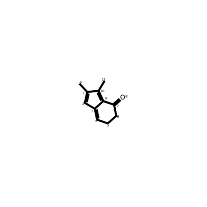 CC1=CC2=CCCC(=O)C2=C1C